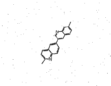 Cc1ccc2cc(-c3ccc4nc(C)ccc4c3)[c]nc2c1